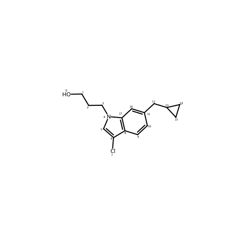 OCCCn1cc(Cl)c2ccc(CC3[CH]C3)cc21